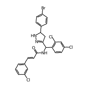 O=C(C=Cc1cccc(Cl)c1)NC(C1=NNC(c2ccc(Br)cc2)C1)c1ccc(Cl)cc1Cl